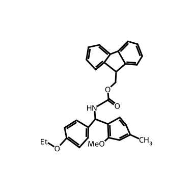 CCOc1ccc(C(NC(=O)OCC2c3ccccc3-c3ccccc32)c2ccc(C)cc2OC)cc1